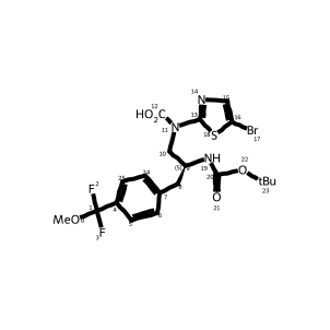 COC(F)(F)c1ccc(C[C@@H](CN(C(=O)O)c2ncc(Br)s2)NC(=O)OC(C)(C)C)cc1